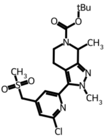 CC1c2nn(C)c(-c3cc(CS(C)(=O)=O)cc(Cl)n3)c2CCN1C(=O)OC(C)(C)C